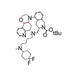 CN(CCCCN(C[C@H]1Cc2c(cccc2N2CCOCC2)CN1C(=O)OC(C)(C)C)[C@H]1CCCc2cccnc21)C1CCC(F)(F)CC1